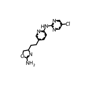 NC1=NC(CCc2ccc(Nc3ncc(Cl)cn3)nc2)CO1